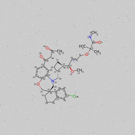 C=NC(=O)C(C)(C)OC/C=C/[C@@H](OC)[C@@H]1CC[C@H]1CN1C[C@@]2(CCCc3cc(Cl)ccc32)COc2ccc(C(=O)CC(C)=O)cc21